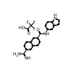 N=C(N)c1ccc2cc(C(=O)Nc3ccc4[nH]ccc4c3)ccc2c1.O=C(O)C(F)(F)F